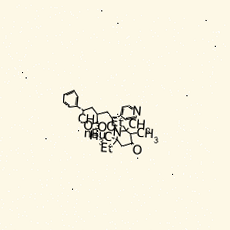 CCCCOC(=O)C(CC(C)c1ccccc1)CC(ON1C(C)(CC)CC(=O)C(C)C1(C)CC)c1ccncc1